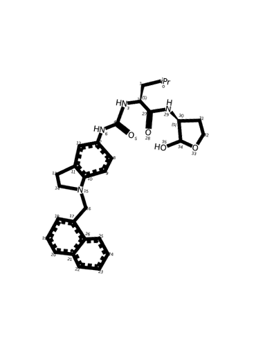 CC(C)C[C@H](NC(=O)Nc1ccc2c(c1)CCN2Cc1cccc2ccccc12)C(=O)N[C@H]1CCOC1O